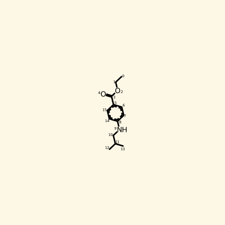 CCOC(=O)c1ccc(NCC(C)C)cc1